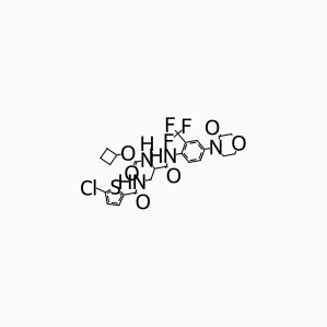 O=C(NC(CNC(=O)c1ccc(Cl)s1)C(=O)Nc1ccc(N2CCOCC2=O)cc1C(F)(F)F)OC1CCC1